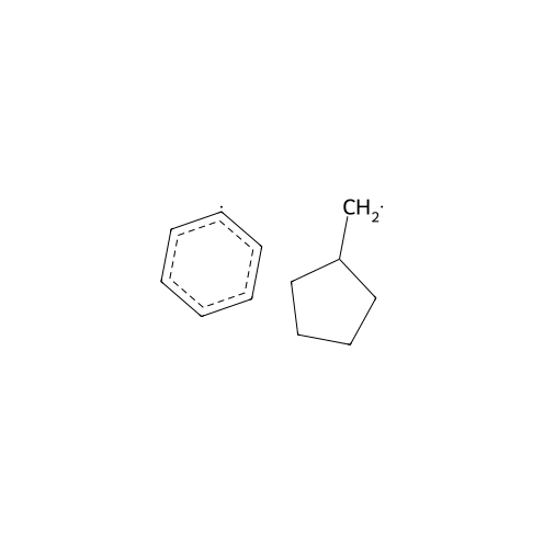 [CH2]C1CCCC1.[c]1ccccc1